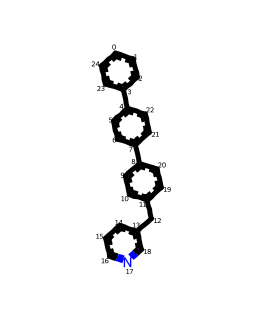 [c]1ccc(-c2ccc(-c3ccc(Cc4cccnc4)cc3)cc2)cc1